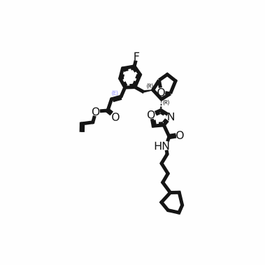 C=CCOC(=O)/C=C/c1ccc(F)cc1C[C@H]1C2CCC(O2)[C@@H]1c1nc(C(=O)NCCCCC2CCCCC2)co1